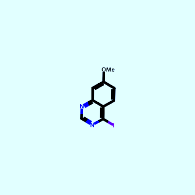 COc1ccc2c(I)ncnc2c1